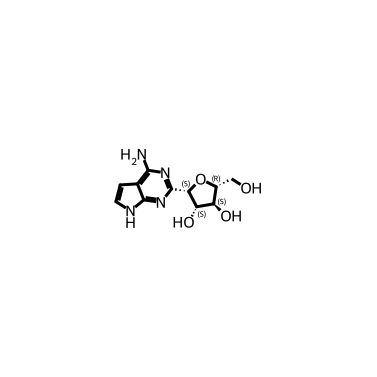 Nc1nc([C@@H]2O[C@H](CO)[C@@H](O)[C@@H]2O)nc2[nH]ccc12